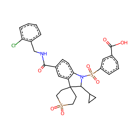 O=C(O)c1cccc(S(=O)(=O)N2c3ccc(C(=O)NCc4ccccc4Cl)cc3C3(CCS(=O)(=O)CC3)C2C2CC2)c1